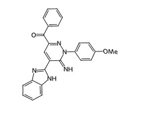 COc1ccc(-n2nc(C(=O)c3ccccc3)cc(-c3nc4ccccc4[nH]3)c2=N)cc1